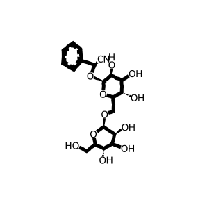 N#C[C@@H](O[C@@H]1OC(CO[C@@H]2OC(CO)[C@@H](O)C(O)[C@@H]2O)[C@@H](O)C(O)[C@@H]1O)c1ccccc1